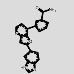 NC(=O)c1cccc(-c2ccnc3cc(-c4ccc5nc[nH]c5c4)oc23)c1